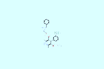 CC1=C(C(=O)OCCN(C)Cc2ccccc2)C(c2cccc([N+](=O)[O-])c2)C(C(=O)OC(C)C)=C(C)N1.Cl